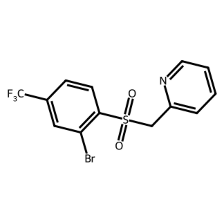 O=S(=O)(Cc1ccccn1)c1ccc(C(F)(F)F)cc1Br